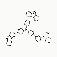 c1cc(-c2ccc(N(c3ccc(-c4ccc5oc6ccccc6c5c4)cc3)c3ccc(-c4cccc5oc6ccccc6c45)cc3)cc2)cc(-c2cccc3ccccc23)c1